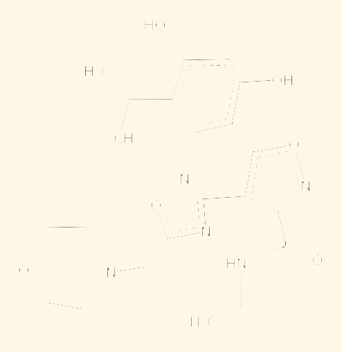 CCNC(=O)c1noc(-c2cc(C(C)C)c(O)cc2O)c1-c1noc(CN2CCOCC2)n1